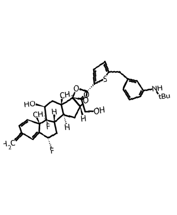 C=C1C=C[C@@]2(C)C(=C1)[C@@H](F)C[C@H]1[C@@H]3C[C@H]4O[C@@H](c5ccc(Cc6cccc(NC(C)(C)C)c6)s5)O[C@@]4(C(=O)CO)[C@@]3(C)C[C@H](O)[C@@]12F